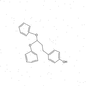 Oc1ccc(CCC(Oc2ccccc2)Oc2ccccc2)cc1